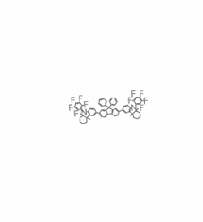 CC12CCCCC1(C)N(c1c(F)c(F)c(F)c(F)c1F)c1ccc(-c3ccc4c(c3)C(c3ccccc3)(c3ccccc3)c3cc(-c5ccc6c(c5)C5(C)CCCCC5(C)N6c5c(F)c(F)c(F)c(F)c5F)ccc3-4)cc12